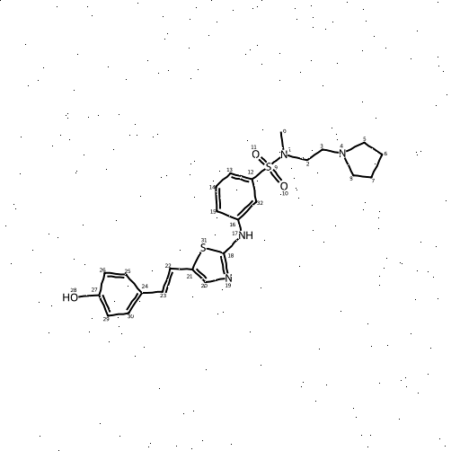 CN(CCN1CCCC1)S(=O)(=O)c1cccc(Nc2ncc(/C=C/c3ccc(O)cc3)s2)c1